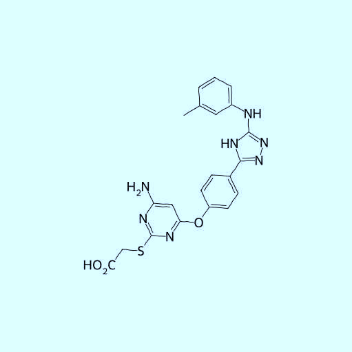 Cc1cccc(Nc2nnc(-c3ccc(Oc4cc(N)nc(SCC(=O)O)n4)cc3)[nH]2)c1